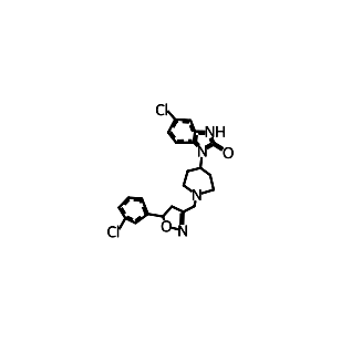 O=c1[nH]c2cc(Cl)ccc2n1C1CCN(CC2=NOC(c3cccc(Cl)c3)C2)CC1